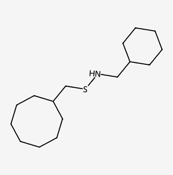 C1CCCC(CSNCC2CCCCC2)CCC1